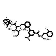 CNC[C@H](Cc1ccccc1Cl)NC(=O)c1cc(-c2cccc(CN3O[C@@H](CO)[C@@H]([C@H](C)O)[C@H]3C(=O)N[C@H]3C[C@H]4C[C@@H]([C@@H]3C)C4(C)C)c2OC)cc(N(C)C)c1